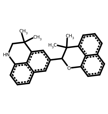 CC1(C)CNc2cccc3cc(C4Oc5cccc6cccc(c56)C4(C)C)cc1c23